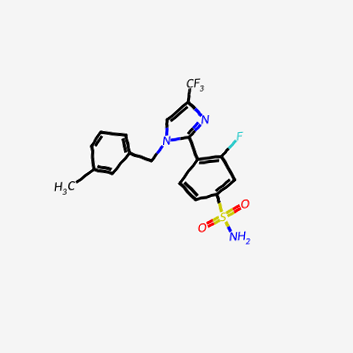 Cc1cccc(Cn2cc(C(F)(F)F)nc2-c2ccc(S(N)(=O)=O)cc2F)c1